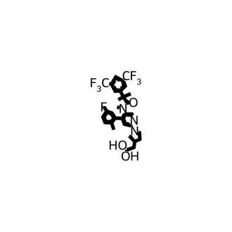 Cc1ccc(F)cc1-c1cc(N2CCC(CC(O)O)C2)ncc1N(C)C(=O)C(C)(C)c1cc(C(F)(F)F)cc(C(F)(F)F)c1